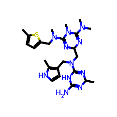 Cc1ccc(CN(C)C2=NC(CN(Cc3cc[nH]c3C)C3=NC(C)N=C(N)N3)N=C(N(C)C)N2C)s1